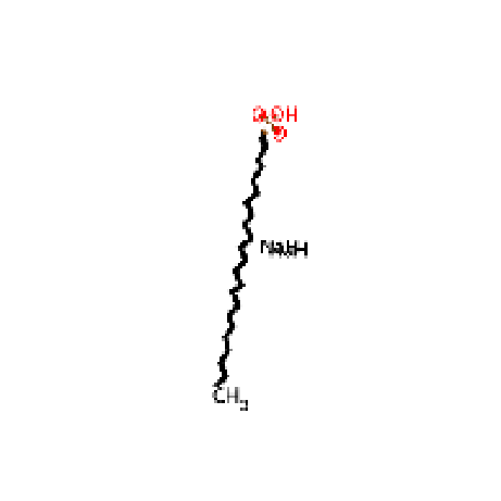 CCCCCCCCCCCCCCCCCCCCCCC=CS(=O)(=O)O.[NaH].[NaH]